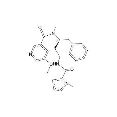 COc1cncc(C(=O)N(C)[C@H](CCNC(=O)c2cccn2C)Cc2ccccc2)c1